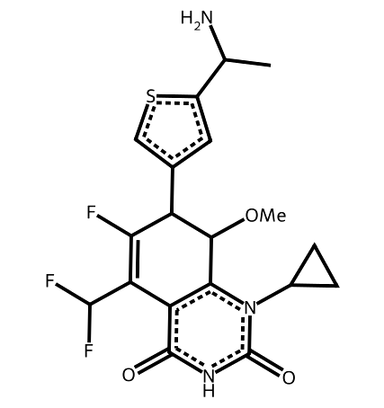 COC1c2c(c(=O)[nH]c(=O)n2C2CC2)C(C(F)F)=C(F)C1c1csc(C(C)N)c1